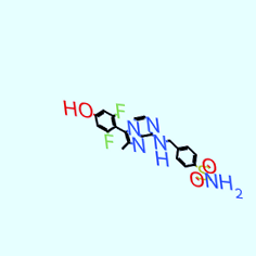 Cc1nc2c(NCc3ccc(S(N)(=O)=O)cc3)nccn2c1-c1c(F)cc(O)cc1F